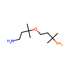 CC(C)(P)CCOC(C)(C)CCN